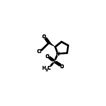 CS(=O)(=O)N1CCC[C@H]1C(=O)Cl